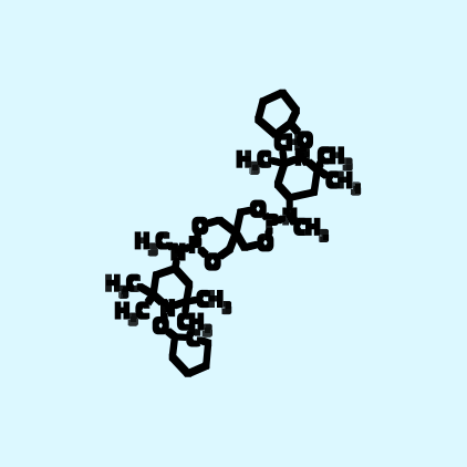 CN(C1CC(C)(C)N(OC2CCCCC2)C(C)(C)C1)P1OCC2(CO1)COP(N(C)C1CC(C)(C)N(OC3CCCCC3)C(C)(C)C1)OC2